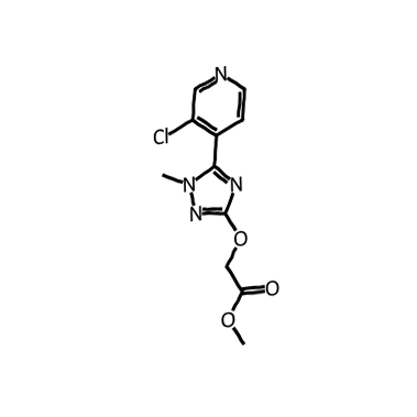 COC(=O)COc1nc(-c2ccncc2Cl)n(C)n1